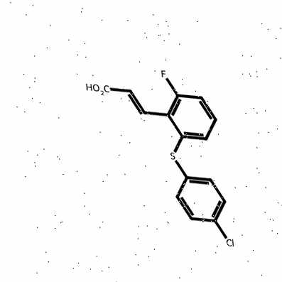 O=C(O)C=Cc1c(F)cccc1Sc1ccc(Cl)cc1